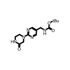 CC(C)(C)OC(=O)NCc1cnc(N2CCNC(=O)C2)nc1